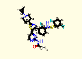 CC(=O)Nc1nccc(-c2sc(C3CCN(C4CC4)CC3)nc2-c2cccc(NSc3cc(F)ccc3F)c2F)n1